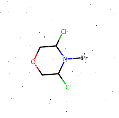 CC(C)N1C(Cl)COCC1Cl